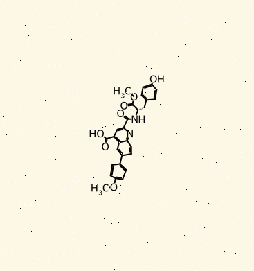 COC(=O)[C@H](Cc1ccc(O)cc1)NC(=O)c1cc(C(=O)O)c2cc(-c3ccc(OC)cc3)ccc2n1